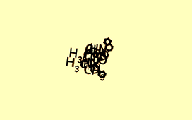 CN[C@@H](C)C(=O)N[C@@H](CCc1ccccc1)C(=O)N1C[C@@H](C(C)C)C[C@H]1C(=O)N[C@@H]1CCCc2ccccc21